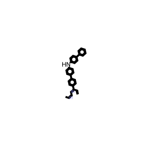 C=C/C(=C\C=C/C)c1ccc(-c2ccc(Nc3ccc(-c4ccccc4)cc3)cc2)cc1